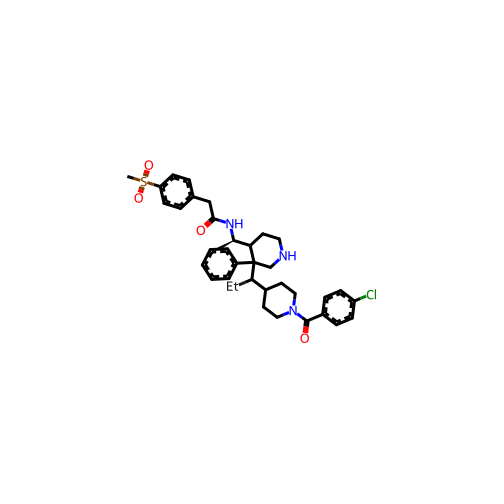 CCC(C1CCN(C(=O)c2ccc(Cl)cc2)CC1)C1(c2ccccc2)CNCCC1[C@@H](C)NC(=O)Cc1ccc(S(C)(=O)=O)cc1